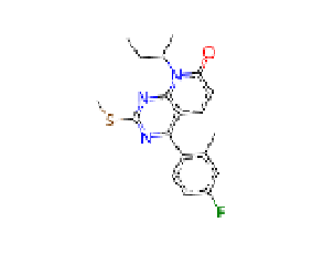 CCC(C)n1c(=O)ccc2c(-c3ccc(F)cc3C)nc(SC)nc21